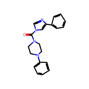 O=C(N1CCN(c2ccccc2)CC1)n1cnc(-c2ccccc2)c1